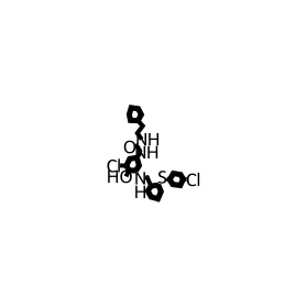 O=C(NCCc1ccccc1)Nc1cc(Cl)c(O)c(NCc2ccccc2Sc2ccc(Cl)cc2)c1